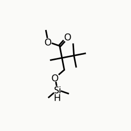 COC(=O)C(C)(CO[SiH](C)C)C(C)(C)C